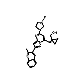 Cc1nc2ccccc2nc1-c1cc2nc(N3CC[C@@H](F)C3)cc(NC3(CO)CC3)n2n1